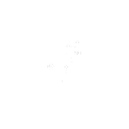 CCCCOCC1NC(=O)OC1C(C)CO